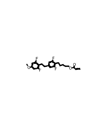 C=CC(=O)OCCCCCc1c(F)cc(CCc2c(F)cc(OC)cc2F)cc1F